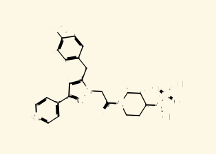 CN(C1CCN(C(=O)Cn2nc(-c3ccncc3)cc2Cc2ccc(F)cc2)CC1)S(C)(=O)=O